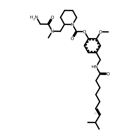 COc1cc(CNC(=O)CCCC/C=C/C(C)C)ccc1OC(=O)N1CCCCC1CN(C)C(=O)CN